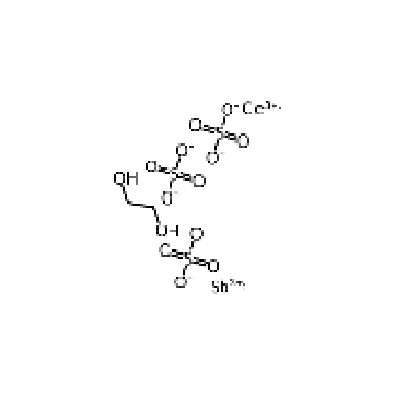 O=S(=O)([O-])[O-].O=S(=O)([O-])[O-].O=S(=O)([O-])[O-].OCCO.[Ce+3].[Sb+3]